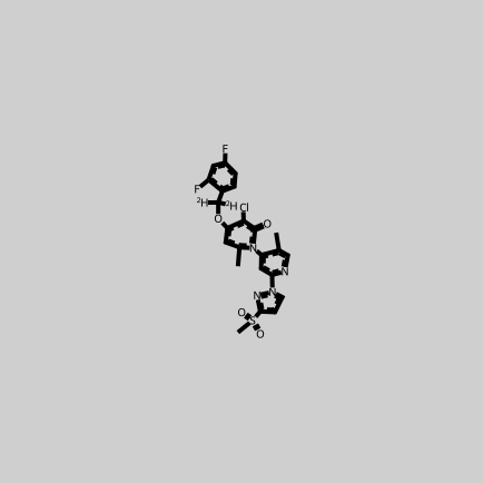 [2H]C([2H])(Oc1cc(C)n(-c2cc(-n3ccc(S(C)(=O)=O)n3)ncc2C)c(=O)c1Cl)c1ccc(F)cc1F